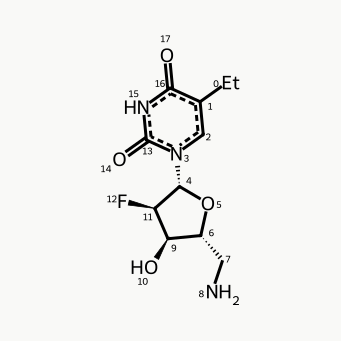 CCc1cn([C@@H]2O[C@H](CN)[C@@H](O)[C@H]2F)c(=O)[nH]c1=O